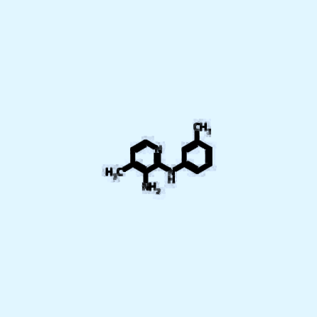 Cc1cccc(Nc2nccc(C)c2N)c1